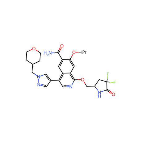 CC(C)Oc1cc2c(OCC3CC(F)(F)C(=O)N3)ncc(-c3cnn(CC4CCOCC4)c3)c2cc1C(N)=O